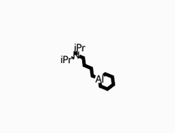 CC(C)N(CCC[CH2][Al]1[CH2]CCC[CH2]1)C(C)C